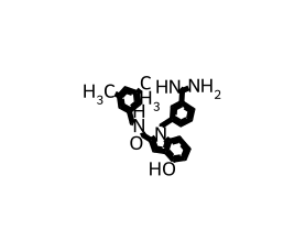 Cc1cc(C)cc(CNC(=O)c2cc3c(O)cccc3n2Cc2cccc(C(=N)N)c2)c1